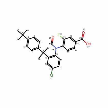 CC(C)(C)c1ccc(C(C)(C)c2cc(Cl)ccc2N(C=O)c2ccc(C(=O)O)cc2F)cc1